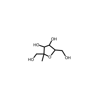 CC1(CO)OC(CO)C(O)C1O